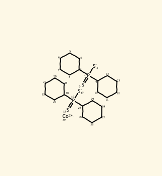 S=P([S-])(C1CCCCC1)C1CCCCC1.S=P([S-])(C1CCCCC1)C1CCCCC1.[Co+2]